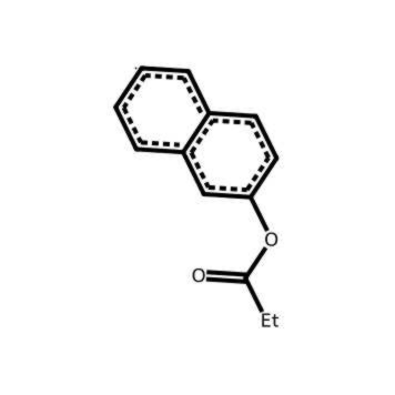 CCC(=O)Oc1ccc2c[c]ccc2c1